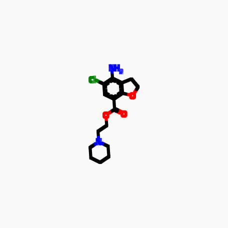 Nc1c(Cl)cc(C(=O)OCCN2CCCCC2)c2c1CCO2